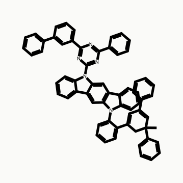 CC1(c2ccccc2)C=C(c2ccccc2)C=C(c2ccccc2-n2c3ccccc3c3cc4c(cc32)c2ccccc2n4-c2nc(-c3ccccc3)nc(-c3cccc(-c4ccccc4)c3)n2)C1